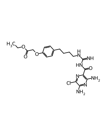 CCOC(=O)COc1ccc(CCCCNC(=N)NC(=O)c2nc(Cl)c(N)nc2N)cc1